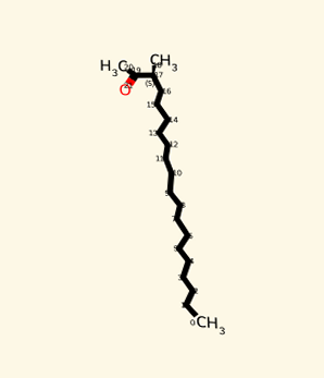 CCCCCCCCCCCCCCCC[CH][C@H](C)C(C)=O